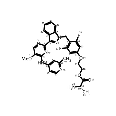 COc1cnc(-c2nn(Cc3c(F)cc(OCCOC(=O)[C@H](C)N)cc3F)c3ccccc23)nc1Nc1ccnc(C)c1